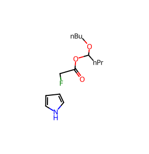 CCCCOC(CCC)OC(=O)CF.c1cc[nH]c1